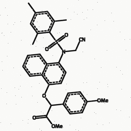 COC(=O)C(Oc1ccc(N(CC#N)S(=O)(=O)c2c(C)cc(C)cc2C)c2ccccc12)c1ccc(OC)cc1